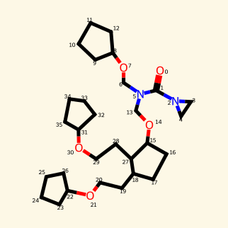 O=C(N1CC1)N(COC1CCCC1)COC1CCC(CCOC2CCCC2)C1CCOC1CCCC1